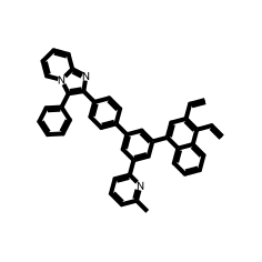 C=Cc1cc(-c2cc(-c3ccc(-c4nc5ccccn5c4-c4ccccc4)cc3)cc(-c3cccc(C)n3)c2)c2ccccc2c1C=C